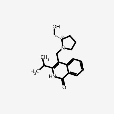 CC(C)c1[nH]c(=O)c2ccccc2c1CN1CCC[C@H]1CO